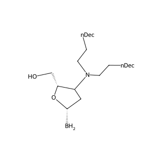 B[C@H]1CC(N(CCCCCCCCCCCC)CCCCCCCCCCCC)[C@@H](CO)O1